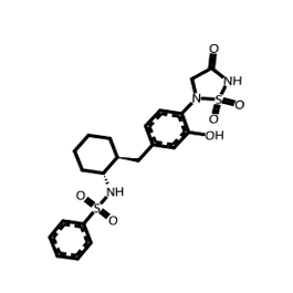 O=C1CN(c2ccc(C[C@@H]3CCCC[C@H]3NS(=O)(=O)c3ccccc3)cc2O)S(=O)(=O)N1